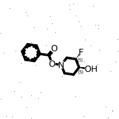 O=C(ON1CC[C@H](O)[C@@H](F)C1)c1ccccc1